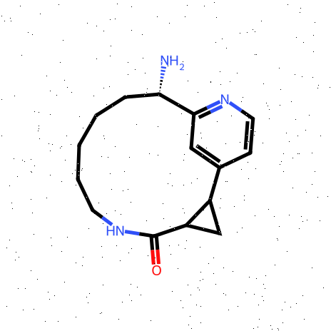 N[C@H]1CCCCCNC(=O)C2CC2c2ccnc1c2